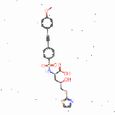 COc1ccc(C#Cc2ccc(S(=O)(=O)NC(CC(O)CSc3nccs3)C(=O)O)cc2)cc1